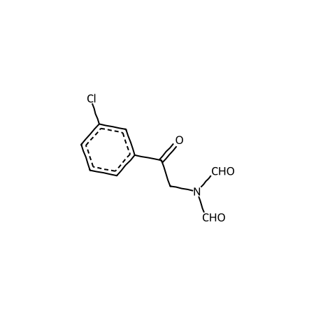 O=CN(C=O)CC(=O)c1cccc(Cl)c1